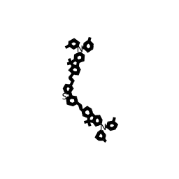 Cc1cccc(N(c2cccc(C)c2)c2ccc3c(c2)C(C)(C)c2cc(/C=C/c4ccc5sc6ccc(/C=C/c7ccc8c(c7)C(C)(C)c7cc(N(c9cccc(C)c9)c9cccc(C)c9)ccc7-8)cc6c5c4)ccc2-3)c1